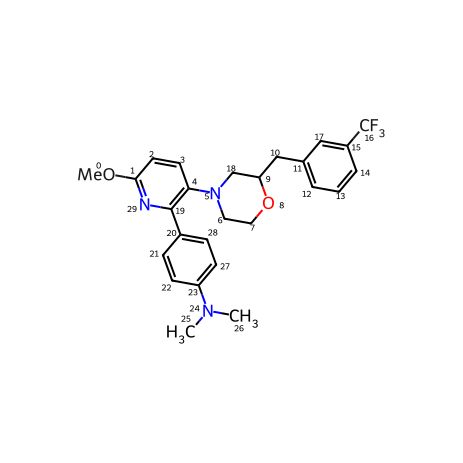 COc1ccc(N2CCOC(Cc3cccc(C(F)(F)F)c3)C2)c(-c2ccc(N(C)C)cc2)n1